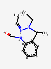 C/C=N\N(CC)C(C)c1ccccc1NC=O